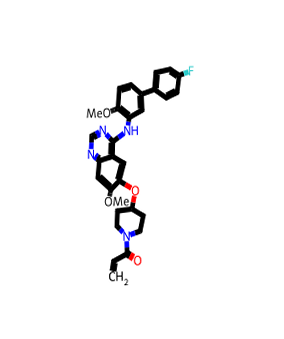 C=CC(=O)N1CCC(Oc2cc3c(Nc4cc(-c5ccc(F)cc5)ccc4OC)ncnc3cc2OC)CC1